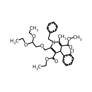 CCOC(=O)C1=C(COCC(OCC)OCC)N(Cc2ccccc2)C(C)=C(C(=O)OC)C1c1ccccc1Cl